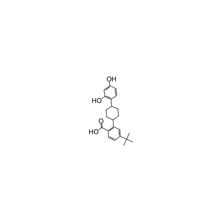 CC(C)(C)c1ccc(C(=O)O)c(C2CCC(c3ccc(O)cc3O)CC2)c1